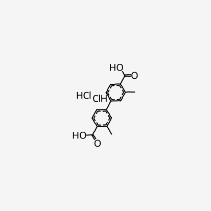 Cc1cc(-c2ccc(C(=O)O)c(C)c2)ccc1C(=O)O.Cl.Cl